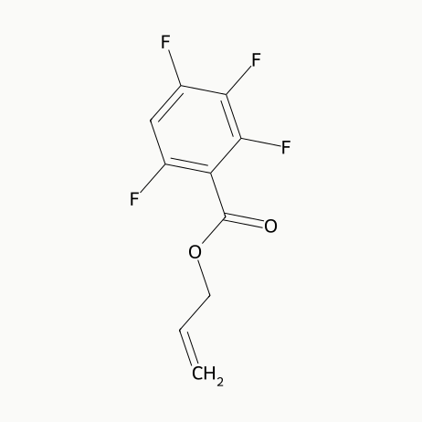 C=CCOC(=O)c1c(F)cc(F)c(F)c1F